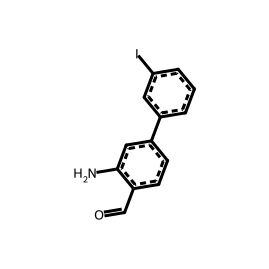 Nc1cc(-c2cccc(I)c2)ccc1C=O